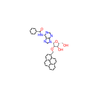 O=C(Nc1ncnc2c1ncn2[C@@H]1O[C@H](CO)[C@@H](O)[C@H]1OCc1ccc2ccc3cccc4ccc1c2c34)c1ccccc1